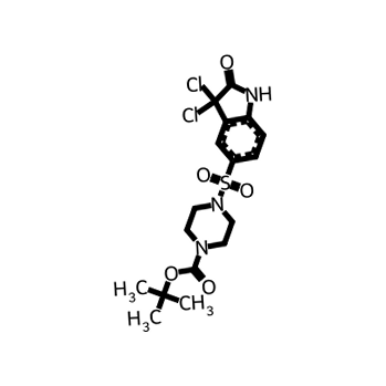 CC(C)(C)OC(=O)N1CCN(S(=O)(=O)c2ccc3c(c2)C(Cl)(Cl)C(=O)N3)CC1